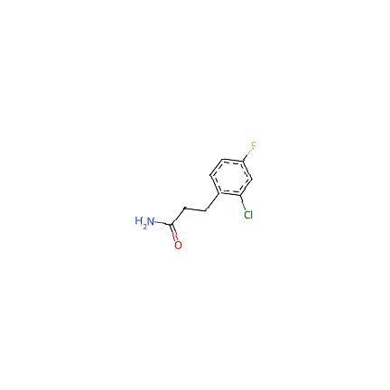 NC(=O)CCc1ccc(F)cc1Cl